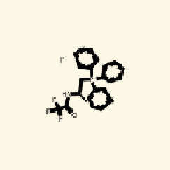 C[C@H](C[P+](c1ccccc1)(c1ccccc1)c1ccccc1)NC(=O)C(F)(F)F.[I-]